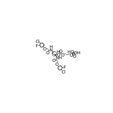 O=C(COc1ccc(Cl)c(F)c1)NC12CCC(NC(=O)COc3ccc(Cl)c(F)c3)(CC1)[C@H](OC(=O)OCCCOP(=O)(O)O)C2